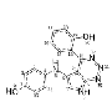 Oc1ccc(Nc2c[nH]c3nnnc(-c4ccccc4O)c23)cc1